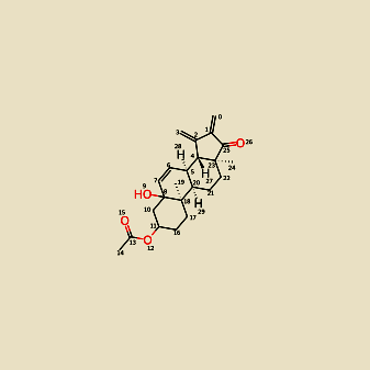 C=C1C(=C)[C@H]2[C@@H]3C=CC4(O)CC(OC(C)=O)CC[C@]4(C)[C@@H]3CC[C@]2(C)C1=O